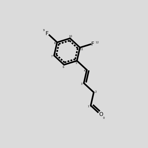 O=[C]CC=Cc1ccc(F)cc1F